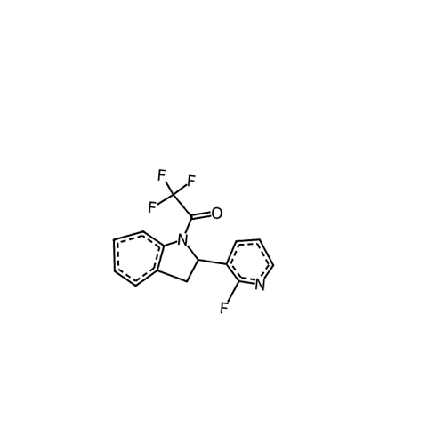 O=C(N1c2ccccc2CC1c1cccnc1F)C(F)(F)F